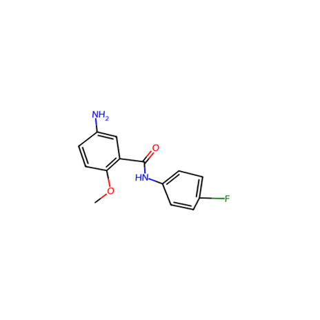 COc1ccc(N)cc1C(=O)Nc1ccc(F)cc1